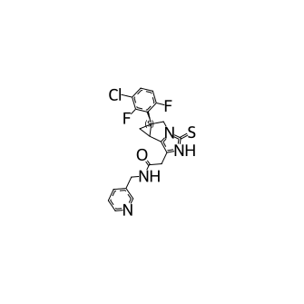 O=C(Cc1[nH]c(=S)n2c1C1C[C@]1(c1c(F)ccc(Cl)c1F)C2)NCc1cccnc1